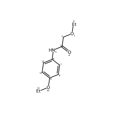 CCOCC(=O)Nc1ccc(OCC)cc1